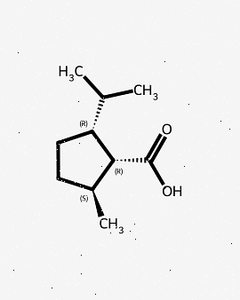 CC(C)[C@H]1CC[C@H](C)[C@H]1C(=O)O